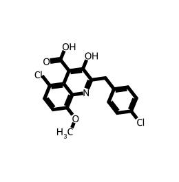 COc1ccc(Cl)c2c(C(=O)O)c(O)c(Cc3ccc(Cl)cc3)nc12